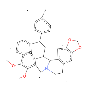 COc1ccc2c(c1OC)CN1CCc3cc4c(cc3C1C2CC(c1ccc(C)cc1)c1ccc(C)cc1)OCO4